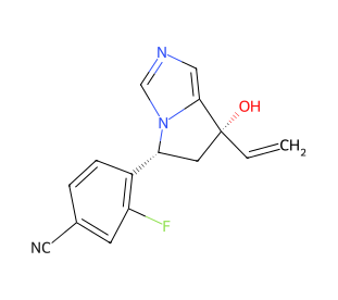 C=C[C@@]1(O)C[C@H](c2ccc(C#N)cc2F)n2cncc21